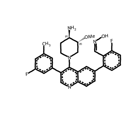 CO[C@@H]1CN(c2c(-c3cc(C)cc(F)c3)cnc3ccc(-c4cccc(F)c4C=NO)cc23)CC[C@H]1N